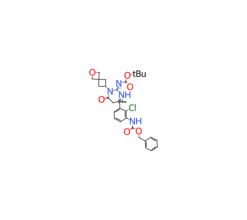 CC(C)(C)OC(=O)/N=C1\N[C@](C)(c2cccc(NC(=O)OCc3ccccc3)c2Cl)CC(=O)N1C1CC2(COC2)C1